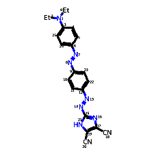 CCN(CC)c1ccc(/N=N/c2ccc(/N=N/c3nc(C#N)c(C#N)[nH]3)cc2)cc1